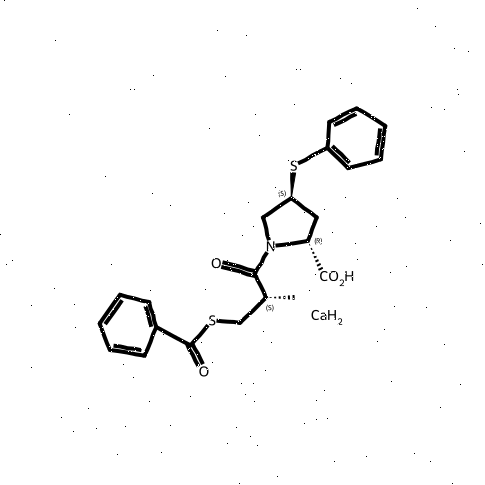 C[C@H](CSC(=O)c1ccccc1)C(=O)N1C[C@@H](Sc2ccccc2)C[C@@H]1C(=O)O.[CaH2]